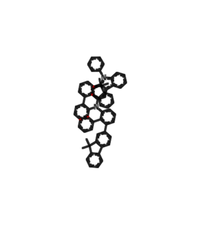 CC1(C)c2ccccc2-c2ccc(-c3cccc(N(c4ccc5c(c4)c4ccccc4n5-c4ccccc4)c4ccccc4-c4cccc5c4-c4ccccc4C5(C)C)c3-c3ccccc3)cc21